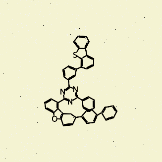 C1=CC(c2ccc(-c3ccccc3)cc2)Cc2c1oc1cccc(-c3nc(-c4ccccc4)nc(-c4cccc(-c5cccc6c5sc5ccccc56)c4)n3)c21